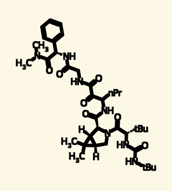 CCCC(NC(=O)[C@@H]1[C@@H]2[C@H](CN1C(=O)[C@@H](NC(=O)NC(C)(C)C)C(C)(C)C)C2(C)C)C(=O)C(=O)NCC(=O)N[C@H](C(=O)N(C)C)c1ccccc1